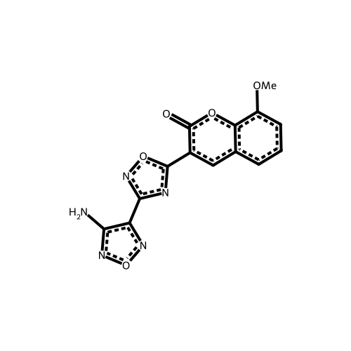 COc1cccc2cc(-c3nc(-c4nonc4N)no3)c(=O)oc12